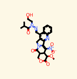 COC1C(=O)OCC2C(=O)N3Cc4c(nc5ccccc5c4/C=N/N(CCO)C(=O)C(C)C)C3=C([N+](=O)[O-])C21